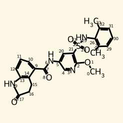 COc1ncc(NC(=O)c2cccc3c2CCC(=O)N3)cc1S(=O)(=O)Nc1c(C)cccc1C